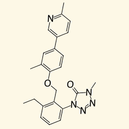 CCc1cccc(-n2nnn(C)c2=O)c1COc1ccc(-c2ccc(C)nc2)cc1C